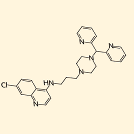 Clc1ccc2c(NCCCN3CCN(C(c4ccccn4)c4ccccn4)CC3)ccnc2c1